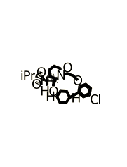 CC(C)S(=O)(=O)N[C@H]1CCCN2C(=O)COc3ccc(Cl)cc3[C@H]3CC[C@H](CC3)OC[C@@H]12